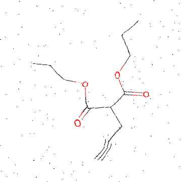 C#CCC(C(=O)OCCC)C(=O)OCCC